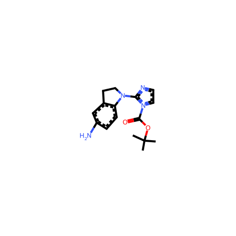 CC(C)(C)OC(=O)n1ccnc1N1CCc2cc(N)ccc21